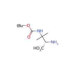 CC(C)(C)OC(=O)NC(C)(C)[C@H](N)C(=O)O